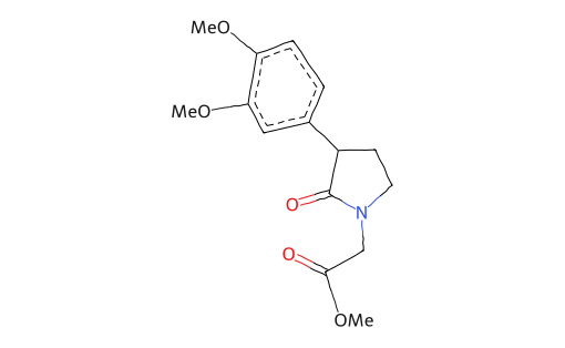 COC(=O)CN1CCC(c2ccc(OC)c(OC)c2)C1=O